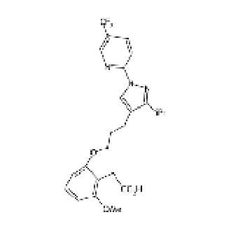 COc1cccc(OCCCc2cn(-c3ccc(C(F)(F)F)cn3)nc2C(C)C)c1CC(=O)O